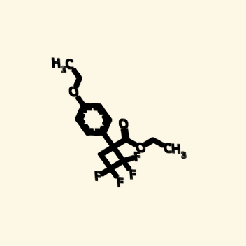 CCOC(=O)C1(c2ccc(OCC)cc2)CC(F)(F)C1(F)F